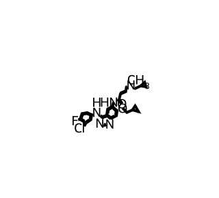 CN(CC=CC(=O)Nc1cc2c(Nc3ccc(F)c(Cl)c3)ncnc2cc1OCC1CC1)CC1CC1